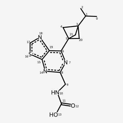 CC(C)C12CC(c3nc(CNC(=O)O)nc4scnc34)(C1)C2